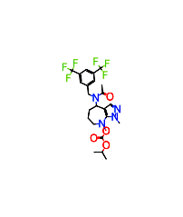 CC(=O)N(Cc1cc(C(F)(F)F)cc(C(F)(F)F)c1)C1CCCN(OC(=O)OC(C)C)c2c1cnn2C